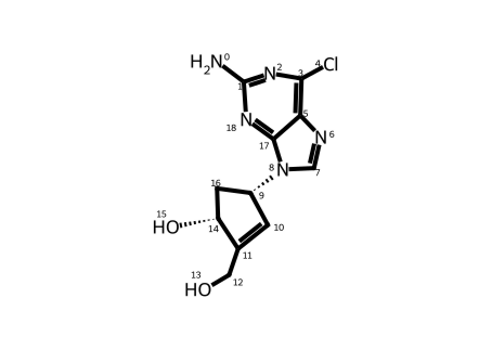 Nc1nc(Cl)c2ncn([C@@H]3C=C(CO)[C@H](O)C3)c2n1